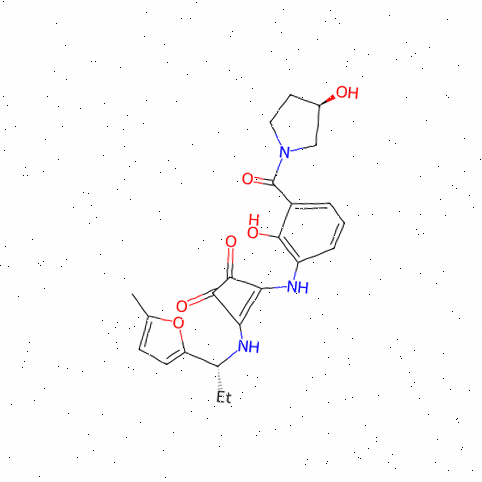 CC[C@@H](Nc1c(Nc2cccc(C(=O)N3CC[C@@H](O)C3)c2O)c(=O)c1=O)c1ccc(C)o1